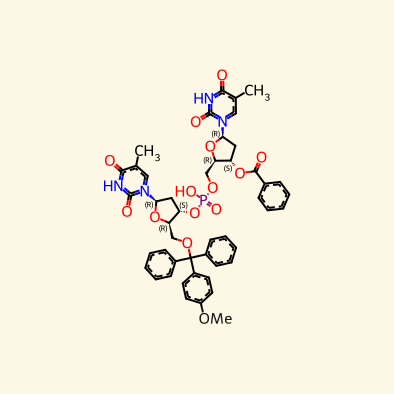 COc1ccc(C(OC[C@H]2O[C@@H](n3cc(C)c(=O)[nH]c3=O)C[C@@H]2OP(=O)(O)OC[C@H]2O[C@@H](n3cc(C)c(=O)[nH]c3=O)C[C@@H]2OC(=O)c2ccccc2)(c2ccccc2)c2ccccc2)cc1